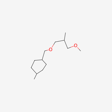 COCC(C)COCC1CCC(C)CC1